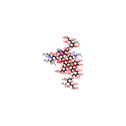 CC(=O)NC1[C@H](OC2[C@@H](OCC3O[C@@H](O[C@@H]4C(CO)O[C@@H](O[C@@H]5C(CO)O[C@@H](C(C)C)C(NC(C)=O)[C@H]5O)C(NC(C)=O)[C@H]4O)C(O)[C@@H](O[C@H]4OC(CO)[C@@H](O)[C@H](O)C4O[C@@H]4OC(CO)[C@@H](O[C@@H]5OC(CO[C@@H]6CC(O)[C@@H](C)C(C(O)C(O)CO)O6)[C@H](O)[C@H](O)C5O)[C@H](O)C4C)[C@@H]3O)OC(CO)[C@@H](O)[C@@H]2O)OC(CO)[C@@H](O[C@@H]2OC(CO[C@@H]3CC(O)[C@@H](C)C(C(O)C(O)CO)O3)[C@H](O)[C@H](O)C2O)[C@@H]1O